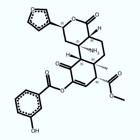 COC(=O)[C@@H]1C=C(OC(=O)c2cccc(O)c2)C(=O)[C@H]2[C@@]1(C)CC[C@H]1C(=O)O[C@H](c3ccoc3)C[C@@]12N